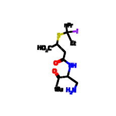 CCCC(I)(CC)SC(CC(=O)NC(CN)C(=O)C(C)(C)C)C(=O)O